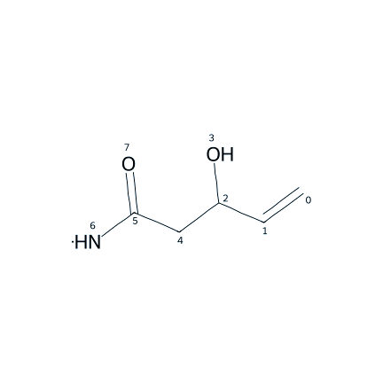 C=CC(O)CC([NH])=O